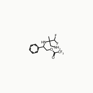 CC(CN)(NC(COC(=O)C(F)(F)F)c1ccccc1)C(F)F